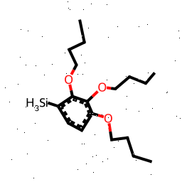 CCCCOc1ccc([SiH3])c(OCCCC)c1OCCCC